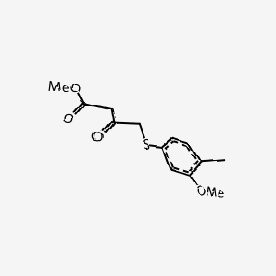 COC(=O)CC(=O)CSc1ccc(C)c(OC)c1